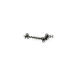 C=C(C)C(=O)OCCCCCCCCCCCCOC(=O)c1ccc(C(=O)O)s1